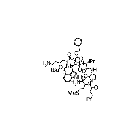 CSCCC(C(N)=O)N(C(=O)CCC(C)C)N1CC[C@H](NC(=O)[C@@H](NC(=O)[C@@H](Cc2c[nH]c3ccccc23)N(C(=O)OCc2ccccc2)C(=O)[C@H](CCCCN)NC(=O)OC(C)(C)C)C(C)C)C1=O